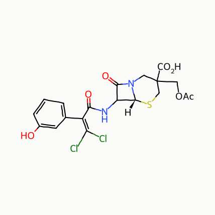 CC(=O)OCC1(C(=O)O)CS[C@@H]2C(NC(=O)C(=C(Cl)Cl)c3cccc(O)c3)C(=O)N2C1